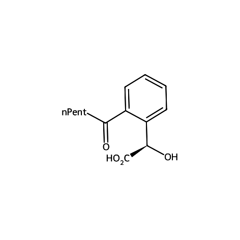 CCCCCC(=O)c1ccccc1[C@@H](O)C(=O)O